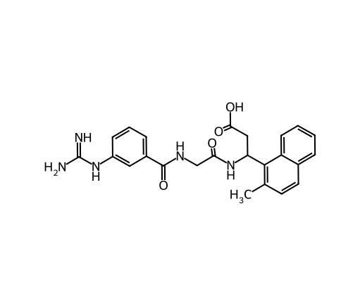 Cc1ccc2ccccc2c1C(CC(=O)O)NC(=O)CNC(=O)c1cccc(NC(=N)N)c1